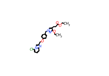 CCOC(=O)CCc1cn(Cc2ccc(OCc3cn4c(Cl)cccc4n3)cc2)nc1OCC